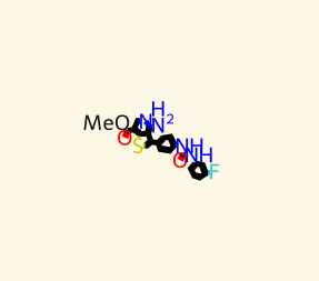 COC(=O)c1cnc(N)c2c(-c3ccc(NC(=O)Nc4cccc(F)c4)cc3)csc12